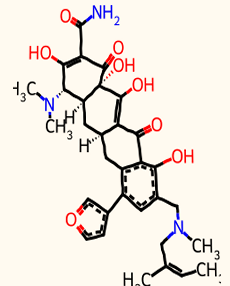 C/C=C(/C)CN(C)Cc1cc(-c2ccoc2)c2c(c1O)C(=O)C1=C(O)[C@]3(O)C(=O)C(C(N)=O)=C(O)[C@@H](N(C)C)[C@@H]3C[C@@H]1C2